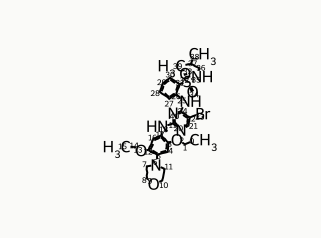 CCOc1cc(N2CCOCC2)c(OCC)cc1Nc1ncc(Br)c(Nc2ccccc2S(=O)(=O)NCC(C)C)n1